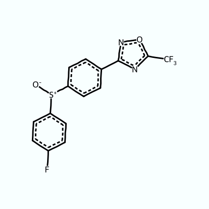 [O-][S+](c1ccc(F)cc1)c1ccc(-c2noc(C(F)(F)F)n2)cc1